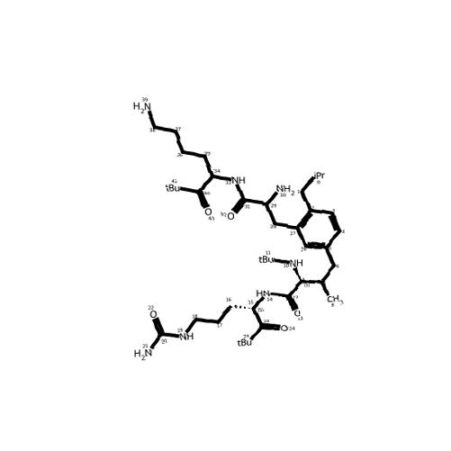 CC(C)Cc1ccc(CC(C)[C@H](NC(C)(C)C)C(=O)N[C@@H](CCCNC(N)=O)C(=O)C(C)(C)C)cc1CC(N)C(=O)NC(CCCCN)C(=O)C(C)(C)C